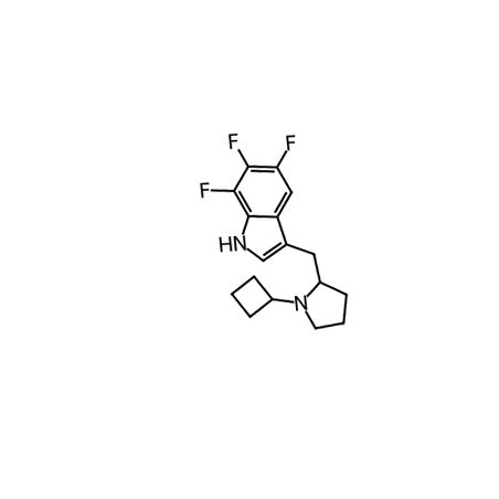 Fc1cc2c(CC3CCCN3C3CCC3)c[nH]c2c(F)c1F